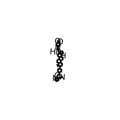 CC1(C)C(C2=CCC(COc3ncccc3C#N)CC2)=CC[C@@]2(C)C1CC[C@@]1(C)C3CCC4(NCCN5CCS(=O)(=O)CC5)CCC[C@@H]4C3CCC12